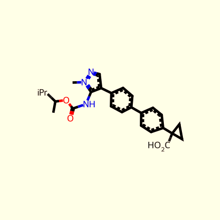 CC(C)C(C)OC(=O)Nc1c(-c2ccc(-c3ccc(C4(C(=O)O)CC4)cc3)cc2)cnn1C